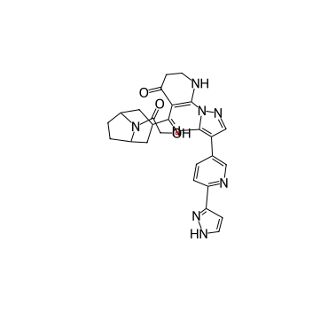 O=C1CCNc2c1c(C1CC3CCC(C1)N3C(=O)CO)nc1c(-c3ccc(-c4cc[nH]n4)nc3)cnn21